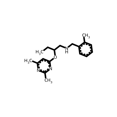 CCC(CNCc1ccccc1C)Oc1cc(C)nc(C)n1